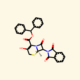 O=C(OC(c1ccccc1)c1ccccc1)C1=C(O)CS[C@@H]2C(N3C(=O)c4ccccc4C3=O)C(=O)N12